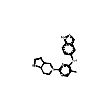 Fc1cnc(N2CCC3NCCC3C2)nc1Nc1ccc2[nH]ncc2c1